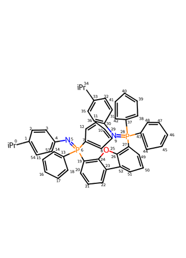 CC(C)c1ccc(N=P(c2ccccc2)(c2ccccc2)c2cccc3c2oc2c(P(=Nc4ccc(C(C)C)cc4)(c4ccccc4)c4ccccc4)cccc23)cc1